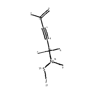 C=C(C)C#CC(C)(C)N(C)SI